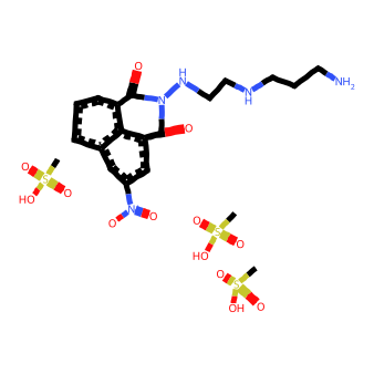 CS(=O)(=O)O.CS(=O)(=O)O.CS(=O)(=O)O.NCCCNCCNN1C(=O)c2cccc3cc([N+](=O)[O-])cc(c23)C1=O